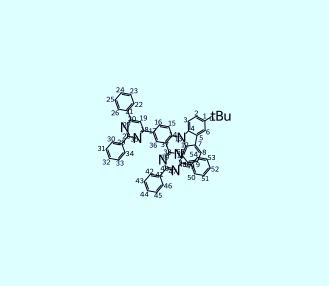 CC(C)(C)c1ccc2c(c1)c1ccccc1n2-c1ccc(-c2cc(-c3ccccc3)nc(-c3ccccc3)n2)cc1-c1nc(-c2ccccc2)nc(-c2ccccc2)n1